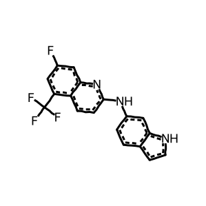 Fc1cc(C(F)(F)F)c2ccc(Nc3ccc4cc[nH]c4c3)nc2c1